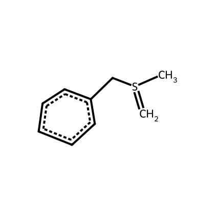 C=S(C)Cc1ccccc1